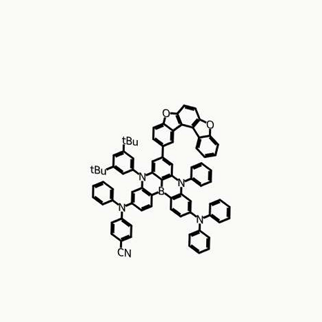 CC(C)(C)c1cc(N2c3cc(N(c4ccccc4)c4ccc(C#N)cc4)ccc3B3c4ccc(N(c5ccccc5)c5ccccc5)cc4N(c4ccccc4)c4cc(-c5ccc6oc7ccc8oc9ccccc9c8c7c6c5)cc2c43)cc(C(C)(C)C)c1